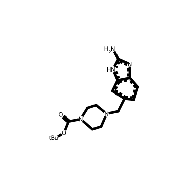 CC(C)(C)OC(=O)N1CCN(Cc2ccc3nc(N)[nH]c3c2)CC1